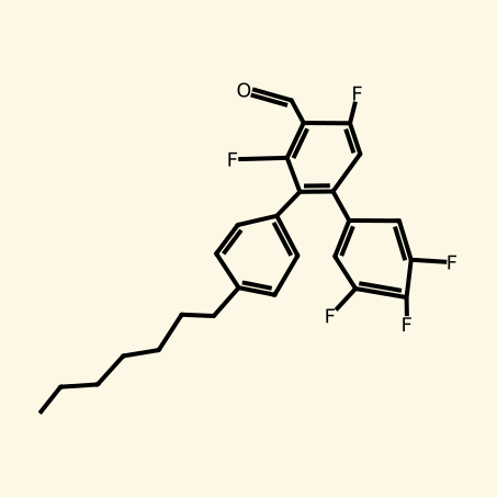 CCCCCCCc1ccc(-c2c(-c3cc(F)c(F)c(F)c3)cc(F)c(C=O)c2F)cc1